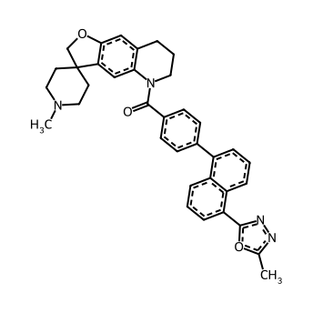 Cc1nnc(-c2cccc3c(-c4ccc(C(=O)N5CCCc6cc7c(cc65)C5(CCN(C)CC5)CO7)cc4)cccc23)o1